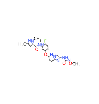 CONC(=O)Nc1cn2nc(Oc3ccc(F)c(NC(=O)c4cc(C)nn4C)c3)ccc2n1